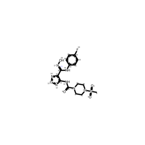 CS(=O)(=O)N1CCN(C(=O)Nc2nonc2/C(=N/O)Nc2ccc(F)cc2)CC1